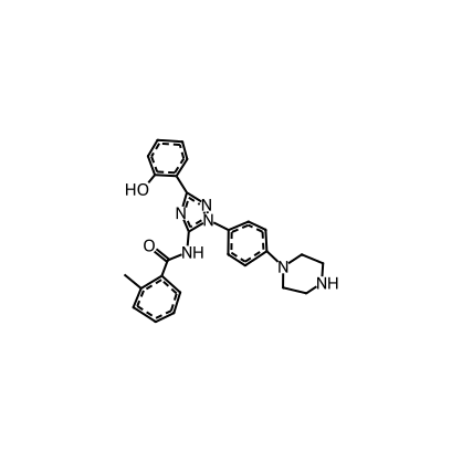 Cc1ccccc1C(=O)Nc1nc(-c2ccccc2O)nn1-c1ccc(N2CCNCC2)cc1